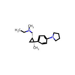 CCN(C)C[C@H]1C[C@]1(C)c1ccc(N2CCCC2)cc1